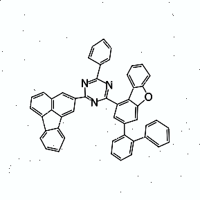 c1ccc(-c2nc(-c3cc4c5c(cccc5c3)-c3ccccc3-4)nc(-c3cc(-c4ccccc4-c4ccccc4)cc4oc5ccccc5c34)n2)cc1